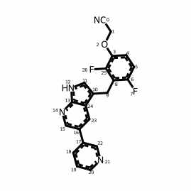 N#CCOc1ccc(F)c(Cc2c[nH]c3ncc(-c4cccnc4)cc23)c1F